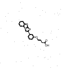 O=C(O)CC=COc1cccc(-c2cn3c(n2)sc2ccccc23)c1